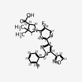 CC1(C)CN(c2nc(-c3cc(-c4ccon4)n(Cc4ccccc4F)n3)ncc2F)CC1C(=O)O